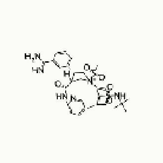 CC(C)(C)NS(=O)(=O)c1c2cccc1[N@@+]1(S(C)(=O)=O)C[C@H](C(=O)Nc3ccc-2cn3)[C@H](c2cccc(C(=N)N)c2)C1